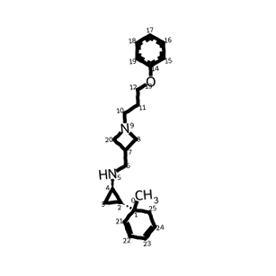 CC1([C@@H]2C[C@H]2NCC2CN(CCCOc3ccccc3)C2)C=CC=CC1